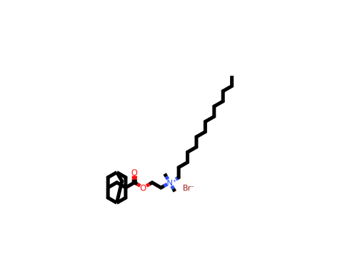 CCCCCCCCCCCCCC[N+](C)(C)CCOC(=O)C12CC3CC(CC(C3)C1)C2.[Br-]